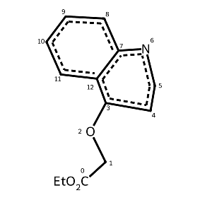 CCOC(=O)COc1ccnc2ccccc12